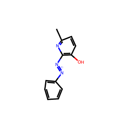 Cc1ccc(O)c(/N=N/c2ccccc2)n1